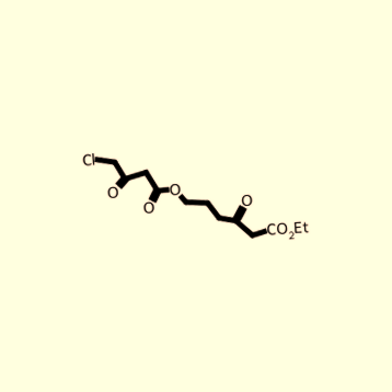 CCOC(=O)CC(=O)CCCOC(=O)CC(=O)CCl